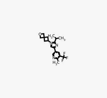 Cc1ncc(-c2cn(C3CC4(COC4)C3)c(C(C)C)n2)cc1C(F)(F)F